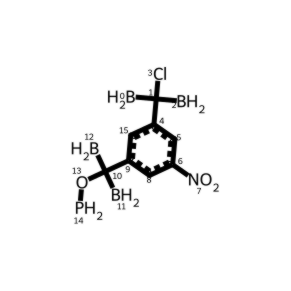 BC(B)(Cl)c1cc([N+](=O)[O-])cc(C(B)(B)OP)c1